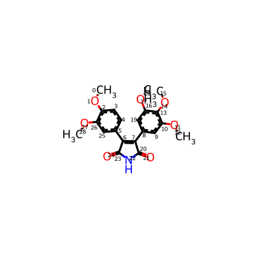 COc1ccc(C2=C(c3cc(OC)c(OC)c(OC)c3)C(=O)NC2=O)cc1OC